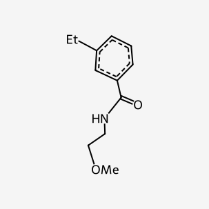 CCc1cccc(C(=O)NCCOC)c1